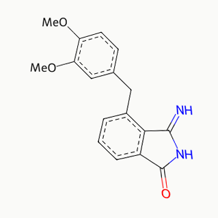 COc1ccc(Cc2cccc3c2C(=N)NC3=O)cc1OC